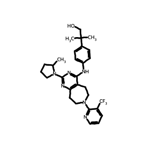 CC1CCCN1c1nc2c(c(Nc3ccc(C(C)(C)CO)cc3)n1)CCN(c1ncccc1C(F)(F)F)CC2